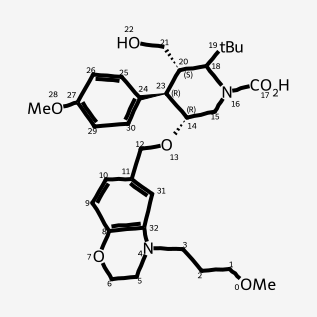 COCCCN1CCOc2ccc(CO[C@H]3CN(C(=O)O)C(C(C)(C)C)[C@@H](CO)[C@@H]3c3ccc(OC)cc3)cc21